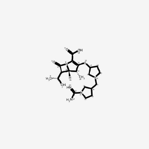 C[C@@H](O)[C@H]1C(=O)N2C(C(=O)O)=C(SC3CCN(CC4CCN(C(=N)N)C4)C3)[C@H](C)[C@H]12